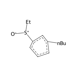 [CH2]CCCc1cccc([S+]([O-])CC)c1